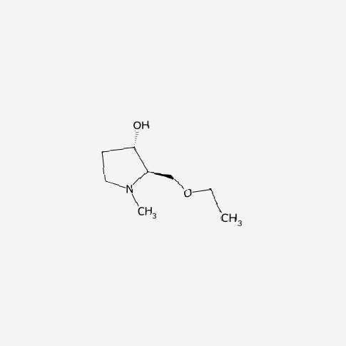 CCOC[C@@H]1[C@@H](O)CCN1C